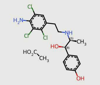 CC(=O)O.C[C@H](NCCc1cc(Cl)c(N)c(Cl)c1Cl)[C@H](O)c1ccc(O)cc1